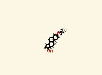 CC(C)(C)[Si](C)(C)O[C@H]1CC[C@@]2(C)C(CCC3C2CC[C@@]2(C)C3CC[C@@H]2O)C1